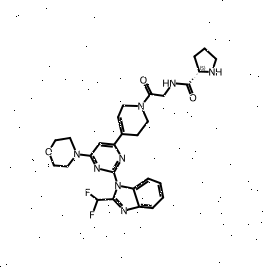 O=C(NCC(=O)N1CC=C(c2cc(N3CCOCC3)nc(-n3c(C(F)F)nc4ccccc43)n2)CC1)[C@@H]1CCCN1